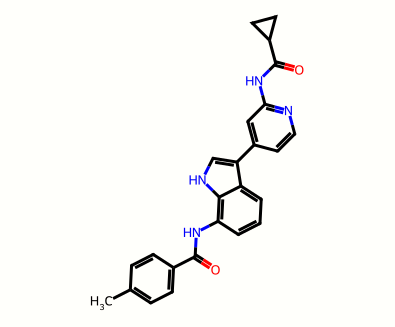 Cc1ccc(C(=O)Nc2cccc3c(-c4ccnc(NC(=O)C5CC5)c4)c[nH]c23)cc1